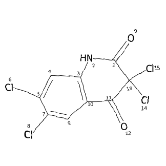 O=C1Nc2cc(Cl)c(Cl)cc2C(=O)C1(Cl)Cl